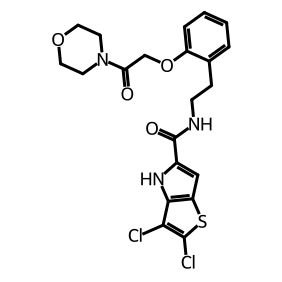 O=C(NCCc1ccccc1OCC(=O)N1CCOCC1)c1cc2sc(Cl)c(Cl)c2[nH]1